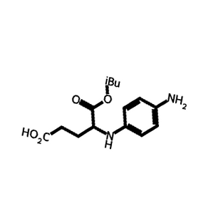 CCC(C)OC(=O)C(CCC(=O)O)Nc1ccc(N)cc1